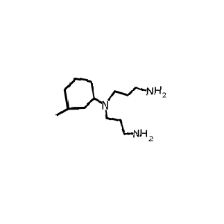 CC1CCCC(N(CCCN)CCCN)C1